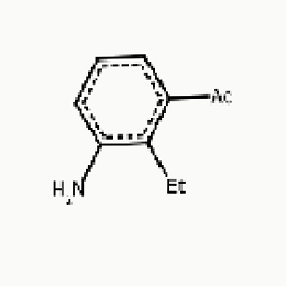 CCc1c(N)cccc1C(C)=O